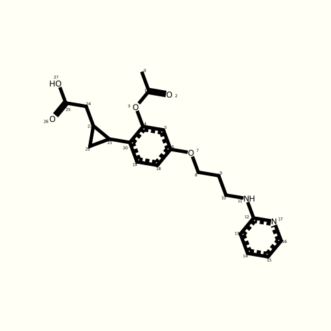 CC(=O)Oc1cc(OCCCNc2ccccn2)ccc1C1CC1CC(=O)O